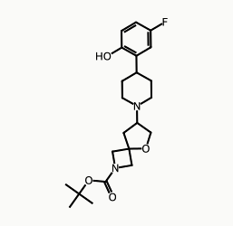 CC(C)(C)OC(=O)N1CC2(CC(N3CCC(c4cc(F)ccc4O)CC3)CO2)C1